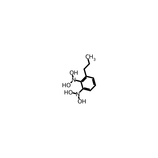 CCCc1cccc(N(O)O)c1N(O)O